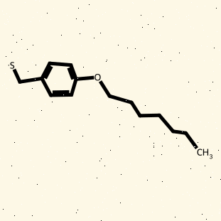 CCCCCCCOc1ccc(C[S])cc1